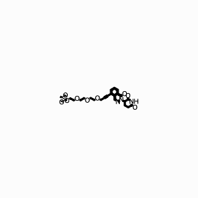 CS(=O)(=O)OCCOCCOCCOCC#Cc1cccc2c(=O)n(C3CCC(=O)NC3=O)ncc12